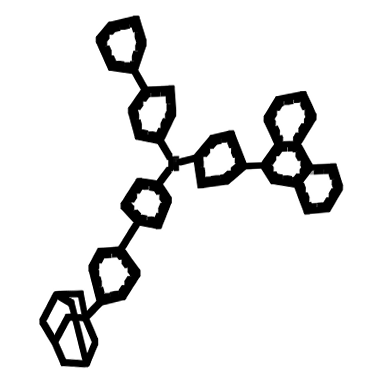 c1ccc(-c2ccc(N(c3ccc(-c4ccc(C56CC7CC(CC(C7)C5)C6)cc4)cc3)c3ccc(-c4cc5ccccc5c5ccccc45)cc3)cc2)cc1